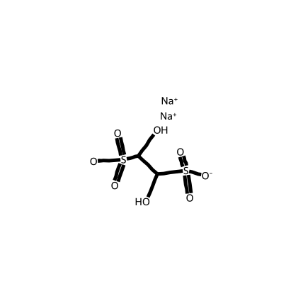 O=S(=O)([O-])C(O)C(O)S(=O)(=O)[O-].[Na+].[Na+]